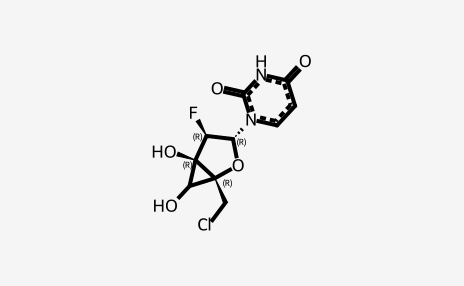 O=c1ccn([C@@H]2O[C@]3(CCl)C(O)[C@]3(O)[C@H]2F)c(=O)[nH]1